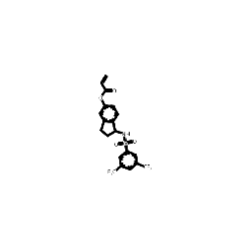 C=CC(=O)Oc1ccc2c(c1)CCC2NS(=O)(=O)c1cc(C(F)(F)F)cc(C(F)(F)F)c1